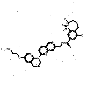 COCCOc1cnc2c(c1)CCCN2c1ccc2cnc(CNC(=O)c3cc(Cl)c4c(c3)S(=O)(=O)[C@@H](F)COC4)cc2n1